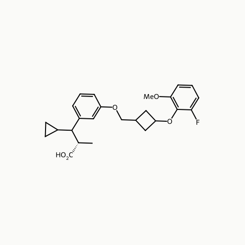 COc1cccc(F)c1OC1CC(COc2cccc(C(C3CC3)[C@H](C)C(=O)O)c2)C1